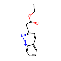 CCOC(=O)CC1=NNc2ccccc2C=C1